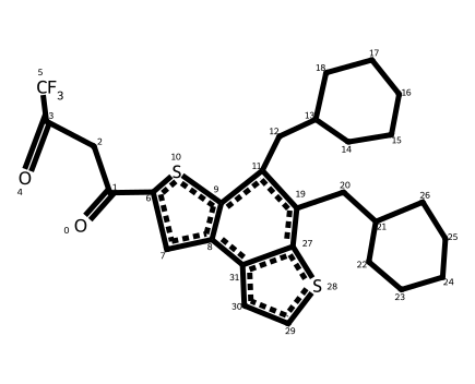 O=C(CC(=O)C(F)(F)F)c1cc2c(s1)c(CC1CCCCC1)c(CC1CCCCC1)c1sccc12